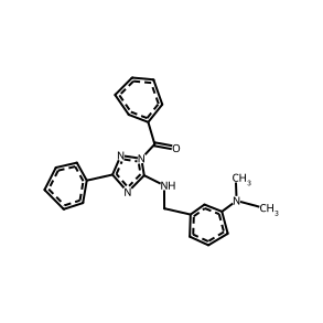 CN(C)c1cccc(CNc2nc(-c3ccccc3)nn2C(=O)c2ccccc2)c1